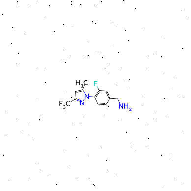 Cc1cc(C(F)(F)F)nn1-c1ccc(CN)cc1F